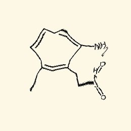 Cc1cccc(N)c1C[SH](=O)=O